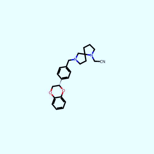 N#CCN1CCCC12CCN(Cc1ccc([C@H]3COc4ccccc4O3)cc1)C2